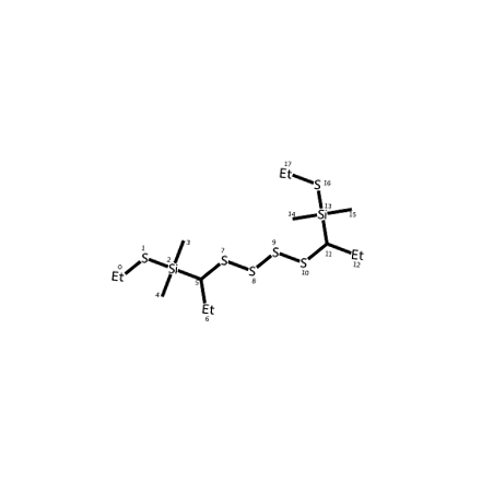 CCS[Si](C)(C)C(CC)SSSSC(CC)[Si](C)(C)SCC